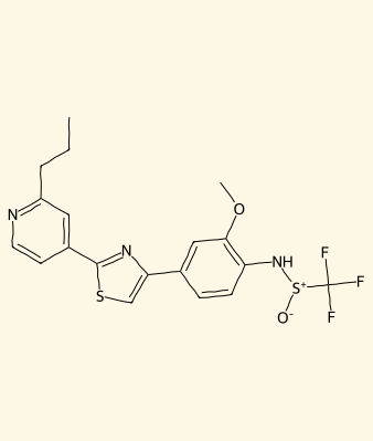 CCCc1cc(-c2nc(-c3ccc(N[S+]([O-])C(F)(F)F)c(OC)c3)cs2)ccn1